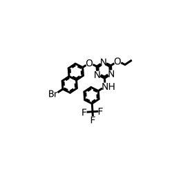 CCOc1nc(Nc2cccc(C(F)(F)F)c2)nc(Oc2ccc3cc(Br)ccc3c2)n1